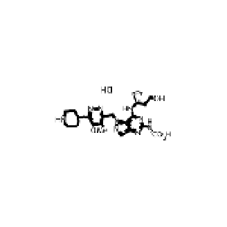 CCC[C@@H](CCO)Nc1nc(NC(=O)O)nc2cnn(Cc3nnc(C4CCNCC4)cc3OC)c12.Cl